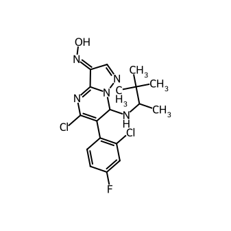 CC(NC1C(c2ccc(F)cc2Cl)=C(Cl)N=C2C(=NO)C=NN21)C(C)(C)C